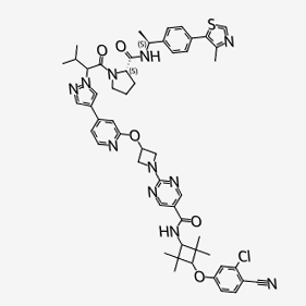 Cc1ncsc1-c1ccc([C@H](C)NC(=O)[C@@H]2CCCN2C(=O)C(C(C)C)n2cc(-c3ccnc(OC4CN(c5ncc(C(=O)NC6C(C)(C)C(Oc7ccc(C#N)c(Cl)c7)C6(C)C)cn5)C4)c3)cn2)cc1